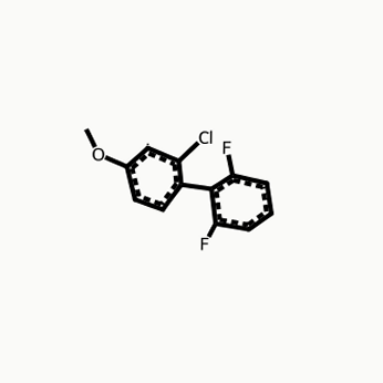 COc1[c]c(Cl)c(-c2c(F)cccc2F)cc1